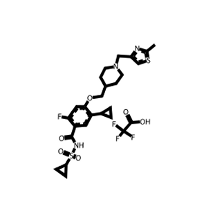 Cc1nc(CN2CCC(COc3cc(F)c(C(=O)NS(=O)(=O)C4CC4)cc3C3CC3)CC2)cs1.O=C(O)C(F)(F)F